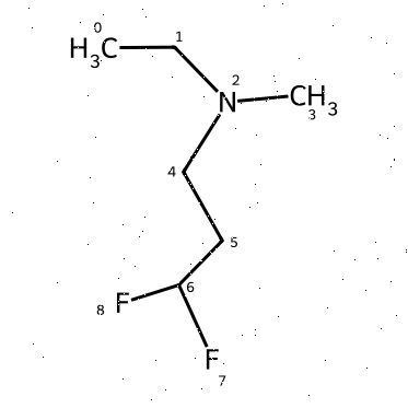 CCN(C)CCC(F)F